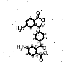 Nc1ccc(C(=O)Cl)c(C(=O)c2ccc(C(=O)c3cc(N)ccc3C(=O)Cl)cc2)c1